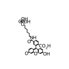 O=C(NCCCCCCOP(=O)(O)O)c1ccc(C(=O)O)c(-c2c3ccc(=O)cc-3oc3cc(O)ccc23)c1